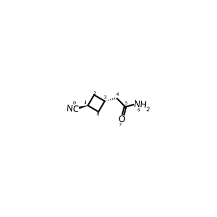 N#C[C@H]1C[C@H](CC(N)=O)C1